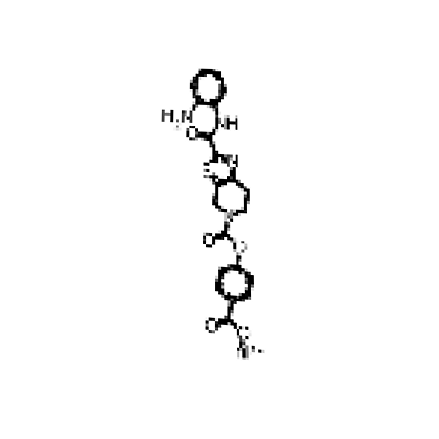 CCCOC(=O)c1ccc(OC(=O)N2CCc3nc(C(=O)Nc4ccccc4N)sc3C2)cc1